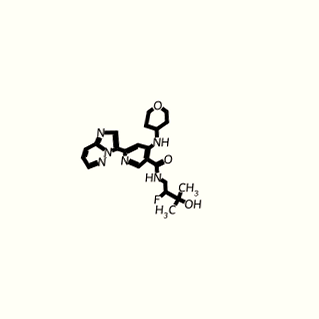 CC(C)(O)C(F)CNC(=O)c1cnc(-c2cnc3cccnn23)cc1NC1CCOCC1